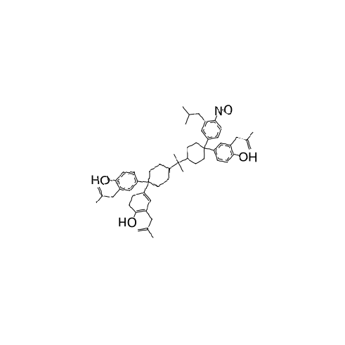 C=C(C)CC1=C(O)CCC(C2(c3ccc(O)c(CC(=C)C)c3)CCC(C(C)(C)C3CCC(c4ccc(O)c(CC(=C)C)c4)(c4ccc(N=O)c(CC(C)C)c4)CC3)CC2)=C1